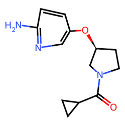 Nc1ccc(O[C@H]2CCN(C(=O)C3CC3)C2)cn1